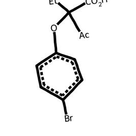 CCC(Oc1ccc(Br)cc1)(C(C)=O)C(=O)O